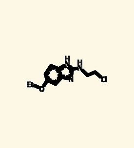 CCOc1ccc2[nH]c(NCCCl)nc2c1